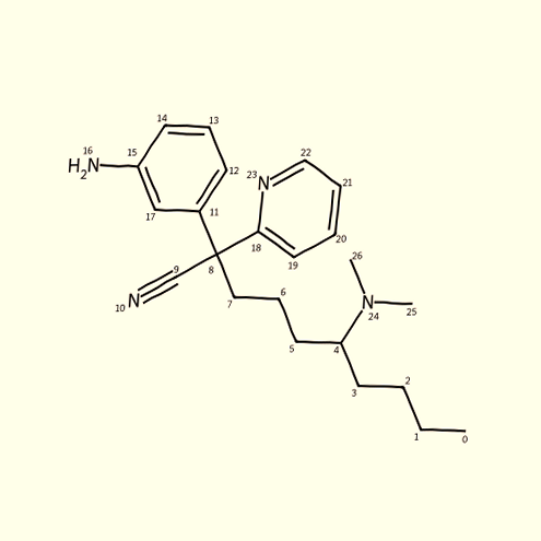 CCCCC(CCCC(C#N)(c1cccc(N)c1)c1ccccn1)N(C)C